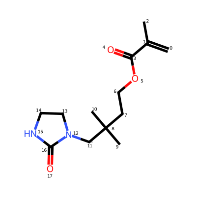 C=C(C)C(=O)OCCC(C)(C)[CH]N1CCNC1=O